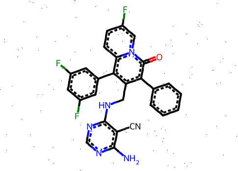 N#Cc1c(N)ncnc1NCc1c(-c2ccccc2)c(=O)n2cc(F)ccc2c1-c1cc(F)cc(F)c1